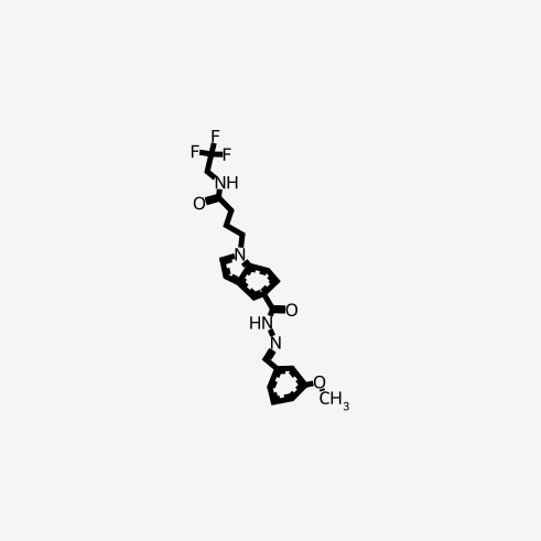 COc1cccc(C=NNC(=O)c2ccc3c(ccn3CCCC(=O)NCC(F)(F)F)c2)c1